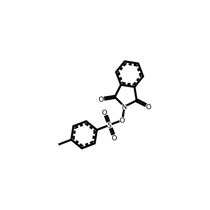 Cc1ccc(S(=O)(=O)ON2C(=O)c3ccccc3C2=O)cc1